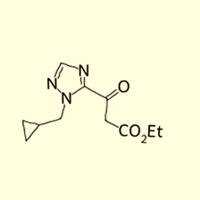 CCOC(=O)CC(=O)c1ncnn1CC1CC1